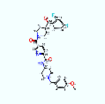 COc1ccc(CN2CCC(NC(=O)c3ccc(C(=O)N4CCC(C(=O)c5ccc(F)cc5F)CC4)cn3)CC2)cc1